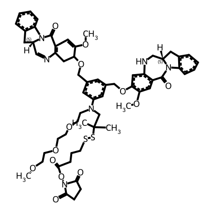 COCCOCCOCCN(CC(C)(C)SSCCCC(=O)ON1C(=O)CCC1=O)c1cc(COc2cc3c(cc2OC)C(=O)N2c4ccccc4C[C@H]2CN3)cc(COC2CC3=C(C=C2OC)C(=O)N2c4ccccc4C[C@H]2C=N3)c1